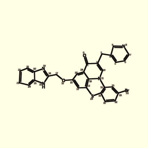 O=c1c(Cc2cccnc2)cn2c3c(cc(OCc4nc5ccccc5[nH]4)cc13)Sc1ccc(Br)cc1-2